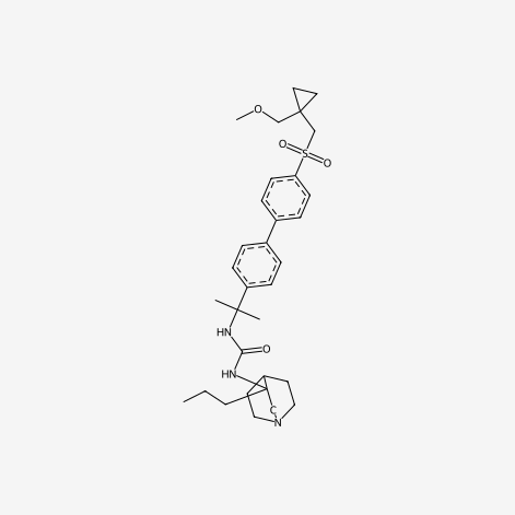 CCCC1(NC(=O)NC(C)(C)c2ccc(-c3ccc(S(=O)(=O)CC4(COC)CC4)cc3)cc2)CN2CCC1CC2